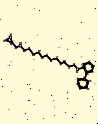 c1ccc(-c2ccccc2OCCCCCCCCCCCCOCC2CO2)cc1